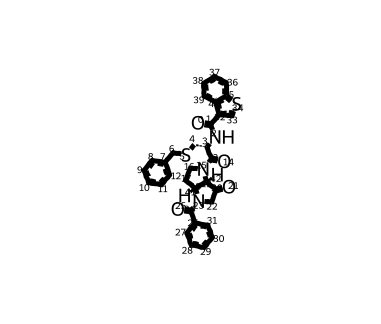 O=C(N[C@@H](CSCc1ccccc1)C(=O)N1CC[C@@H]2[C@H]1C(=O)CN2C(=O)c1ccccc1)c1csc2ccccc12